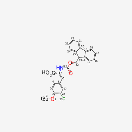 CC(C)(C)Oc1ccc(C=C(NC(=O)OCC2c3ccccc3-c3ccccc32)C(=O)O)cc1F